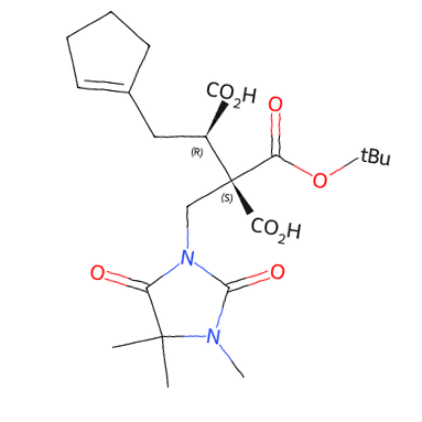 CN1C(=O)N(C[C@@](C(=O)O)(C(=O)OC(C)(C)C)[C@@H](CC2=CCCC2)C(=O)O)C(=O)C1(C)C